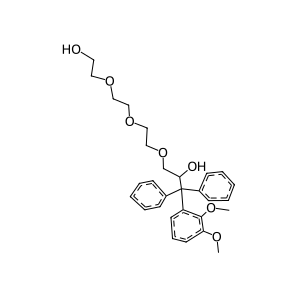 COc1cccc(C(c2ccccc2)(c2ccccc2)C(O)COCCOCCOCCO)c1OC